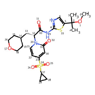 COC(C)(C)c1cnc(NC(=O)[C@@H](CC2CCOCC2)n2ccc(S(=O)(=O)C3CC3)cc2=O)s1